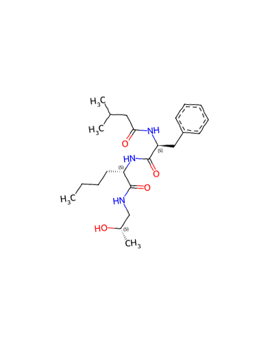 CCCC[C@H](NC(=O)[C@H](Cc1ccccc1)NC(=O)CC(C)C)C(=O)NC[C@H](C)O